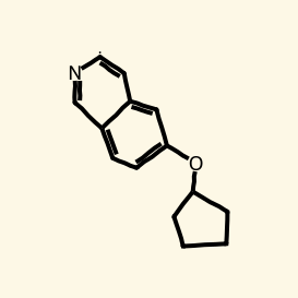 [c]1cc2cc(OC3CCCC3)ccc2cn1